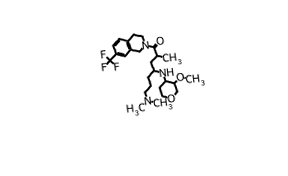 COC1COCCC1NC(CCCN(C)C)CC(C)C(=O)N1CCc2ccc(C(F)(F)F)cc2C1